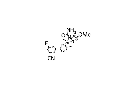 CO[C@H]1CC[C@@]2(Cc3ccc(-c4cc(F)cc(C#N)c4)cc3[C@@]23COC(N)=N3)C[C@@H]1C